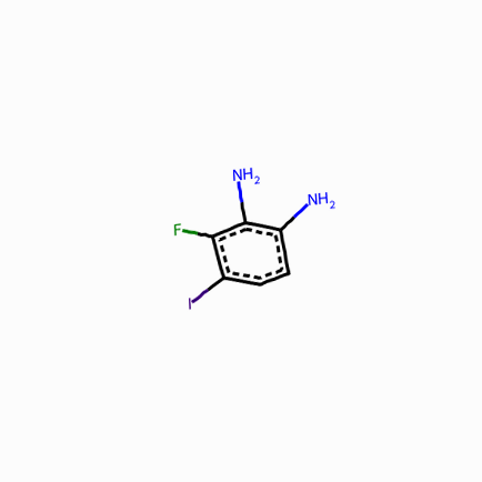 Nc1ccc(I)c(F)c1N